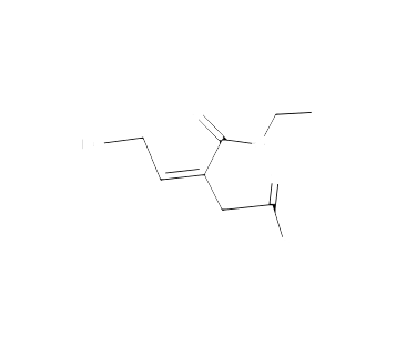 CCC=C(CC(=O)O)C(=O)OCC